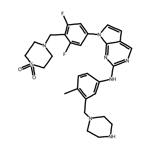 Cc1ccc(Nc2ncc3ccn(-c4cc(F)c(CN5CCS(=O)(=O)CC5)c(F)c4)c3n2)cc1CN1CCNCC1